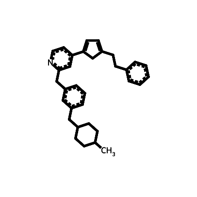 CC1CCC(Cc2cccc(Cc3cc(C4=CC=C(CCc5ccccc5)C4)ccn3)c2)CC1